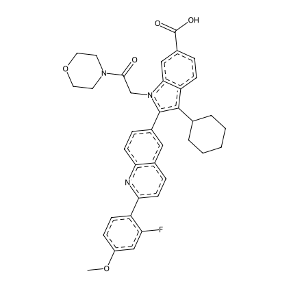 COc1ccc(-c2ccc3cc(-c4c(C5CCCCC5)c5ccc(C(=O)O)cc5n4CC(=O)N4CCOCC4)ccc3n2)c(F)c1